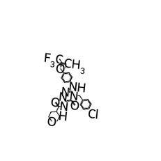 C[C@@H](Oc1ccc(Nc2nnc(NC(=O)C3CCOCC3)c(=O)n2Cc2ccc(Cl)cc2)cc1)C(F)(F)F